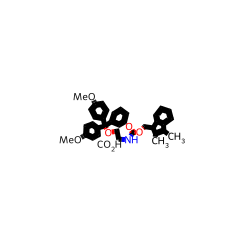 COc1ccc(C(OCC(NC(=O)OCC2C(C)=C(C)c3ccccc32)C(=O)O)(c2ccccc2)c2ccc(OC)cc2)cc1